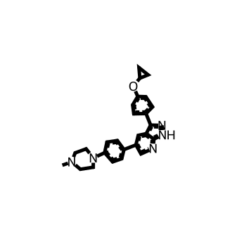 CN1CCN(c2ccc(-c3cnc4[nH]nc(-c5ccc(OC6CC6)cc5)c4c3)cc2)CC1